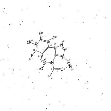 CC(=O)N(C(C)=O)c1c(C#N)cnn1-c1c(F)c(F)c(Cl)c(F)c1F